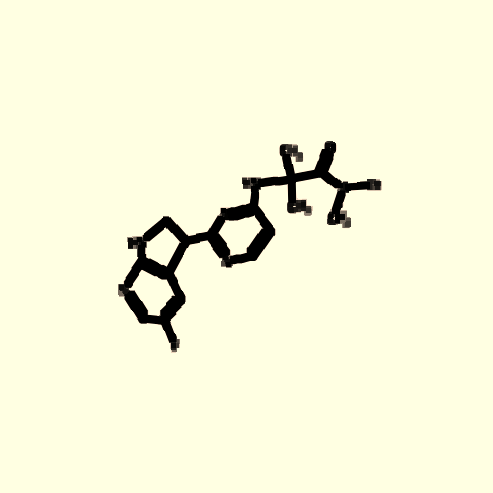 CCN(C)C(=O)C(C)(C)Nc1ccnc(C2CNc3ncc(F)cc32)n1